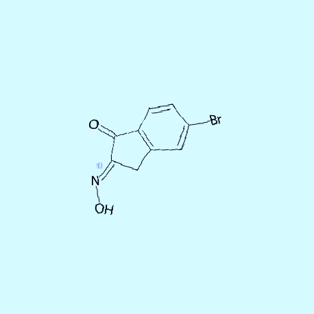 O=C1/C(=N/O)Cc2cc(Br)ccc21